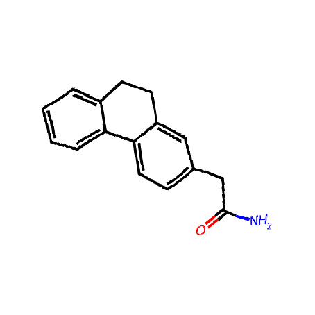 NC(=O)Cc1ccc2c(c1)CCc1ccccc1-2